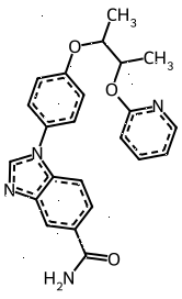 CC(Oc1ccc(-n2cnc3cc(C(N)=O)ccc32)cc1)C(C)Oc1ccccn1